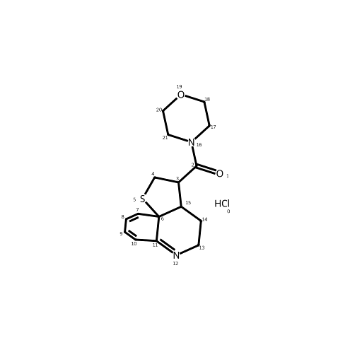 Cl.O=C(C1CSC23C=CC=CC2=NCCC13)N1CCOCC1